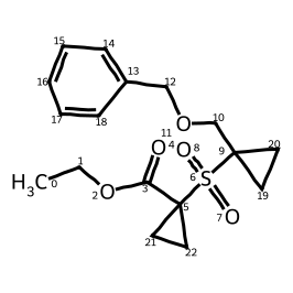 CCOC(=O)C1(S(=O)(=O)C2(COCc3ccccc3)CC2)CC1